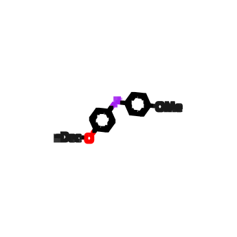 CCCCCCCCCCOc1ccc([I+]c2ccc(OC)cc2)cc1